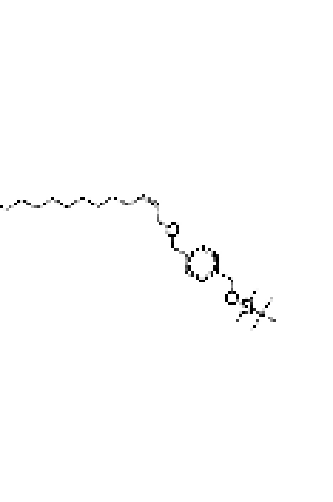 CCCCCCCCCC/C=C\COCc1ccc(CO[Si](C)(C)C(C)(C)C)cc1